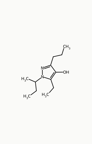 CCCc1nn(C(C)CC)c(CC)c1O